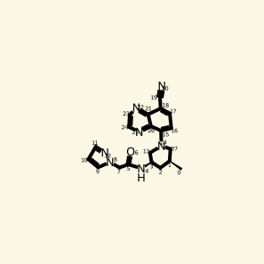 C[C@H]1C[C@@H](NC(=O)Cn2cccn2)CN(c2ccc(C#N)c3nccnc23)C1